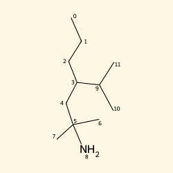 CCCC(CC(C)(C)N)C(C)C